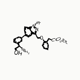 CCOC(=O)Cc1ccccc1OCc1nn(C(C)C)c2ccc(-c3cccc(C(N)CO)c3)cc12